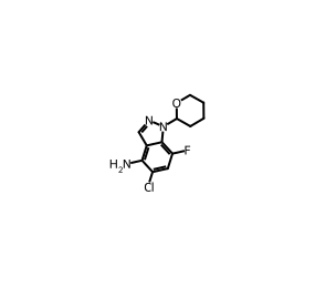 Nc1c(Cl)cc(F)c2c1cnn2C1CCCCO1